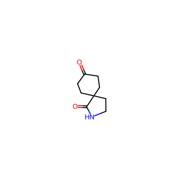 O=C1CCC2(CCNC2=O)CC1